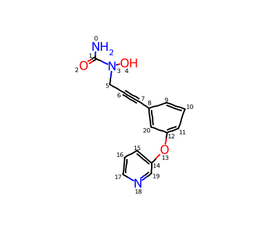 NC(=O)N(O)CC#Cc1cccc(Oc2cccnc2)c1